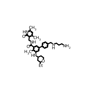 CCC1CC(Nc2cc(-c3ccc(CNCCCN)cc3)cc(C(=O)NCc3c(C)cc(C)[nH]c3=O)c2C)CCO1